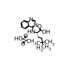 CC(C)(C)CC[C@H](Nc1ncnc2ccccc12)C(=O)O.CS(=O)(=O)O